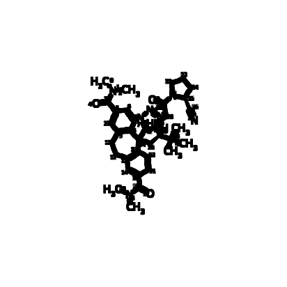 CN(C)C(=O)c1ccc2c(c1)CCc1cc(C(=O)N(C)C)ccc1C2(C[C@@H](NCC(=O)N1CCC[C@H]1C#N)C(C)(C)C)c1nnn[nH]1